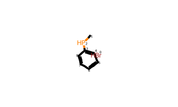 Br.CPc1ccccc1